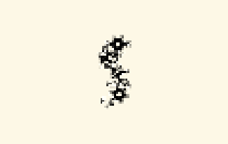 Cc1nc(NC(=O)C2(C(=O)Nc3cc(F)ccc3F)CC2)sc1C(=O)Nc1cc(C(F)(F)F)ccc1Cl